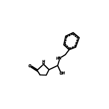 O=C1CCC(C(O)NCc2ccccc2)N1